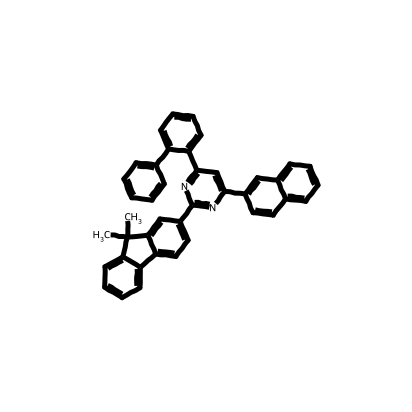 CC1(C)c2ccccc2-c2ccc(-c3nc(-c4ccc5ccccc5c4)cc(-c4ccccc4-c4ccccc4)n3)cc21